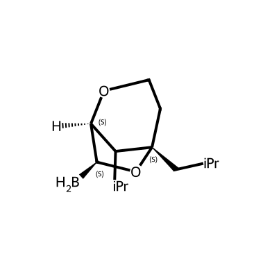 B[C@@H]1O[C@@]2(CC(C)C)CCO[C@H]1C2C(C)C